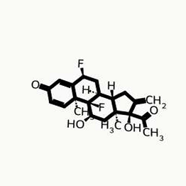 C=C1C[C@H]2[C@@H]3C[C@H](F)C4=CC(=O)C=C[C@]4(C)[C@@]3(F)[C@H](O)C[C@]2(C)[C@@]1(O)C(C)=O